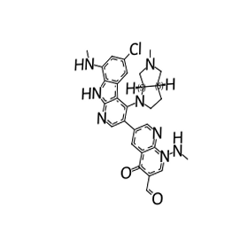 CNc1cc(Cl)cc2c1[nH]c1ncc(-c3cnc4c(c3)c(=O)c(C=O)cn4NC)c(N3CC[C@H]4CN(C)C[C@H]43)c12